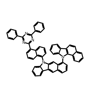 c1ccc(-c2nc(-c3ccccc3)nc(-c3cccc4c(-n5c6ccccc6c6cc7cccc(-n8c9ccccc9c9ccc%10ccccc%10c98)c7cc65)cccc34)n2)cc1